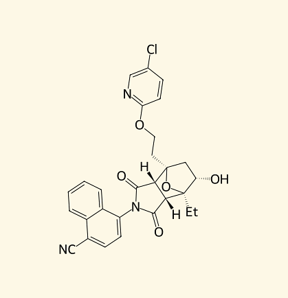 CC[C@]12O[C@](CCOc3ccc(Cl)cn3)(C[C@@H]1O)[C@H]1C(=O)N(c3ccc(C#N)c4ccccc34)C(=O)[C@H]12